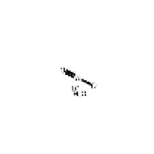 O.[Li+].[O]=[Al][O-]